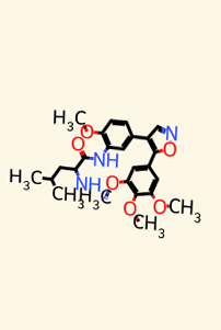 COc1ccc(-c2cnoc2-c2cc(OC)c(OC)c(OC)c2)cc1NC(=O)C(N)CC(C)C